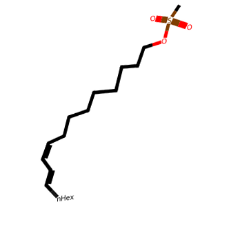 CCCCCC/C=C/C=C\CCCCCCCCOS(C)(=O)=O